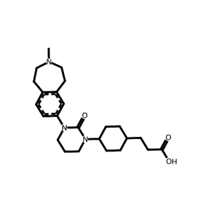 CN1CCc2ccc(N3CCCN(C4CCC(CCC(=O)O)CC4)C3=O)cc2CC1